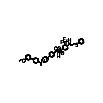 CCOc1cccc(-c2ccc(C(C)N3CCN(c4ccc(C(=O)NS(=O)(=O)c5ccc(NCCSc6ccccc6)c(C(F)(F)F)c5)cc4)CC3)cc2)c1